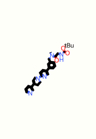 CN(Cc1cccc(-c2ccc(N3CC=C(c4cccnc4)CC3)nc2)c1)C(=O)CNC(=O)OC(C)(C)C